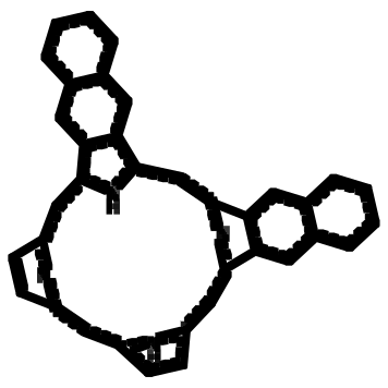 C1=Cc2cc3[nH]c(cc4nc(cc5ccc(cc1n2)[nH]5)-c1cc2ccccc2cc1-4)c1cc2ccccc2cc31